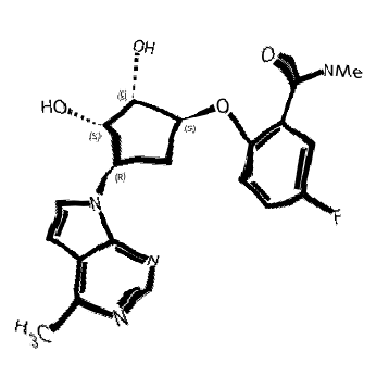 CNC(=O)c1cc(F)ccc1O[C@H]1C[C@@H](n2ccc3c(C)ncnc32)[C@H](O)[C@@H]1O